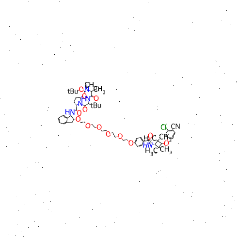 C[C@@H](C(=O)N[C@H](C(=O)N1CCCC1C(=O)N[C@H]1c2ccccc2C[C@H]1OCCOCCOCCOCCOCCOc1ccc(C(=O)N[C@H]2C(C)(C)[C@H](Oc3ccc(C#N)c(Cl)c3)C2(C)C)cc1)C(C)(C)C)N(C)C(=O)OC(C)(C)C